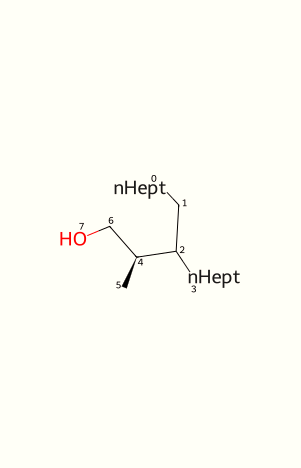 CCCCCCCCC(CCCCCCC)[C@@H](C)CO